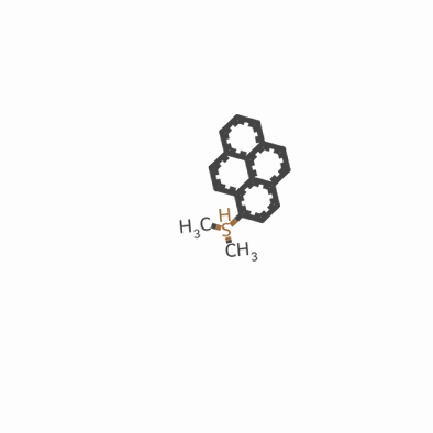 C[SH](C)c1ccc2ccc3cccc4ccc1c2c34